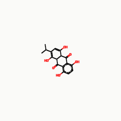 CC(C)C1=C(O)C2C(=O)c3c(O)ccc(O)c3C(=O)C2C(O)=C1